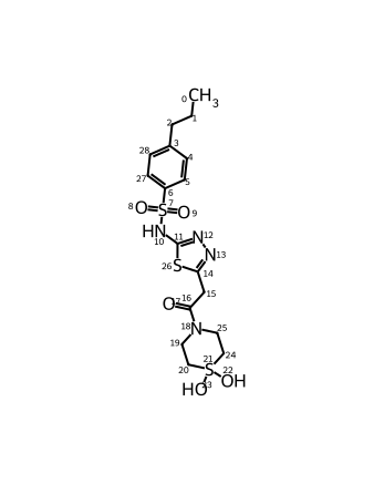 CCCc1ccc(S(=O)(=O)Nc2nnc(CC(=O)N3CCS(O)(O)CC3)s2)cc1